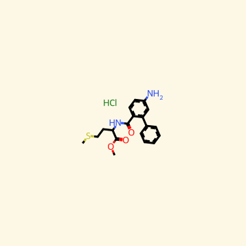 COC(=O)C(CCSC)NC(=O)c1ccc(N)cc1-c1ccccc1.Cl